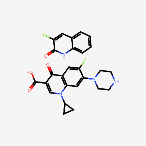 O=C(O)c1cn(C2CC2)c2cc(N3CCNCC3)c(F)cc2c1=O.O=c1[nH]c2ccccc2cc1F